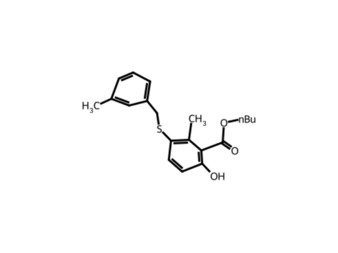 CCCCOC(=O)c1c(O)ccc(SCc2cccc(C)c2)c1C